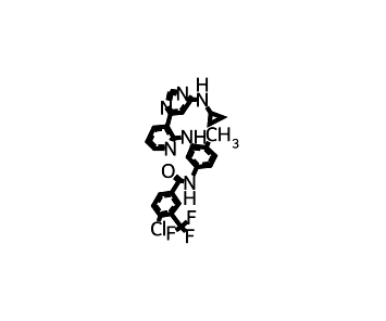 Cc1ccc(NC(=O)c2ccc(Cl)c(C(F)(F)F)c2)cc1Nc1ncccc1-c1cc(NC2CC2)ncn1